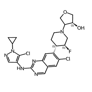 O[C@@H]1COCC1N1CC[C@@H](c2cc3nc(Nc4cnn(C5CC5)c4Cl)ncc3cc2Cl)[C@H](F)C1